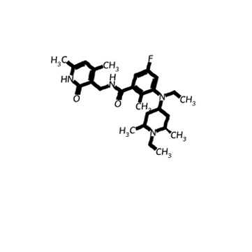 CCN(c1cc(F)cc(C(=O)NCc2c(C)cc(C)[nH]c2=O)c1C)C1CC(C)N(CC)[C@H](C)C1